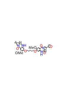 COc1cc2c(cc1OCCCCCOc1cc3c(cc1OC)C(=O)N1CC4(CC4)C[C@H]1CN3)NC(=O)[C@@H]1CC(c3ccoc3)=CN1C2=O